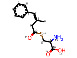 CC(=Cc1ccccc1)CC(=O)SCC(N)C(=O)O